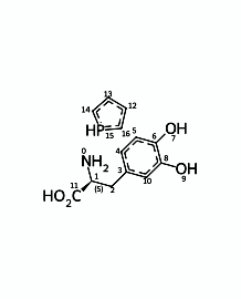 N[C@@H](Cc1ccc(O)c(O)c1)C(=O)O.c1cc[pH]c1